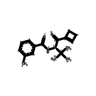 Cc1cccc(C(=O)NN(C(=O)C2=CCC2)C(C)(C)C)c1